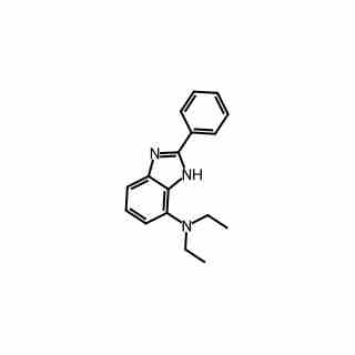 CCN(CC)c1cccc2nc(-c3ccccc3)[nH]c12